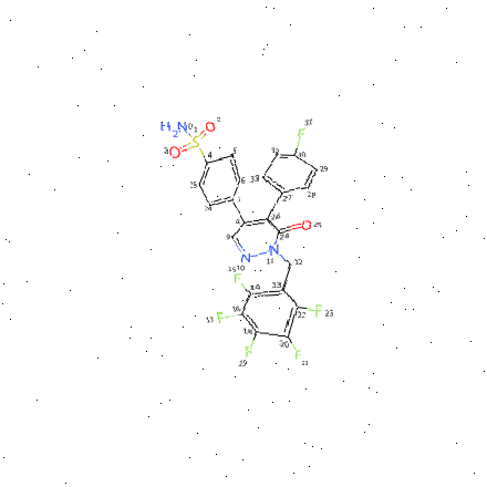 NS(=O)(=O)c1ccc(-c2cnn(Cc3c(F)c(F)c(F)c(F)c3F)c(=O)c2-c2ccc(F)cc2)cc1